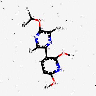 CCOc1nc(OC(C)C)ccc1-c1nc(NC)c(OC(CC)CC)nc1CC